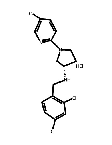 Cl.Clc1ccc(N2CC[C@H](NCc3ccc(Cl)cc3Cl)C2)nc1